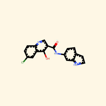 O=C(Nc1ccc2cc[nH]c2c1)c1cnc2ccc(Cl)cc2c1O